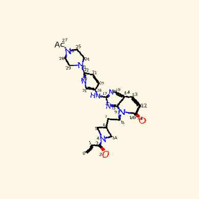 C=CC(=O)N1CC(CCn2c(=O)ccc3cnc(Nc4ccc(N5CCN(C(C)=O)CC5)nc4)nc32)C1